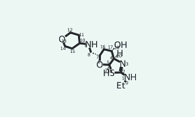 CCNC1=N[C@H]2[C@H](O[C@H](CNC3CCOCC3)C[C@@H]2O)S1